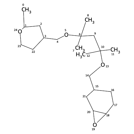 CC1CC(COC(C)(C)CC(C)(C)OCC2CCC3OC3C2)CCO1